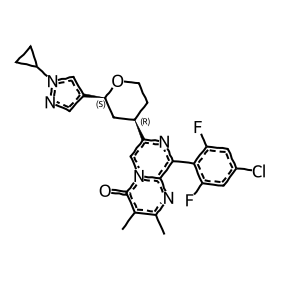 Cc1nc2c(-c3c(F)cc(Cl)cc3F)nc([C@@H]3CCO[C@H](c4cnn(C5CC5)c4)C3)cn2c(=O)c1C